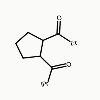 CCC(=O)C1CCCC1C(=O)C(C)C